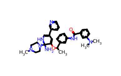 CC(OC1=CC(c2cccnc2)=CNC1(N)N1CCN(C)CC1)c1cccc(NC(=O)c2cccc(N(C)C)c2)c1